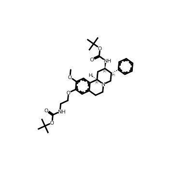 COc1cc2c(cc1OCCNC(=O)OC(C)(C)C)CCN1C[C@@H](c3ccccc3)[C@H](NC(=O)OC(C)(C)C)C[C@H]21